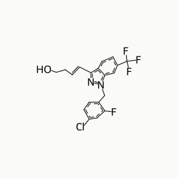 OCCC=Cc1nn(Cc2ccc(Cl)cc2F)c2cc(C(F)(F)F)ccc12